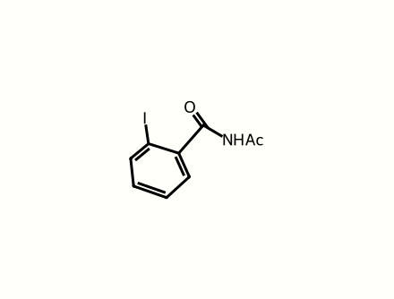 CC(=O)NC(=O)c1ccccc1I